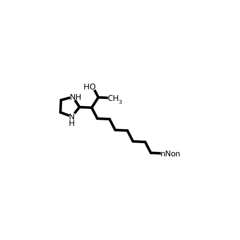 CCCCCCCCCCCCCCCCC(C(C)O)C1NCCN1